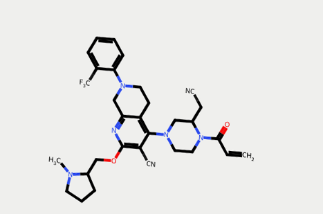 C=CC(=O)N1CCN(c2c(C#N)c(OCC3CCCN3C)nc3c2CCN(c2ccccc2C(F)(F)F)C3)CC1CC#N